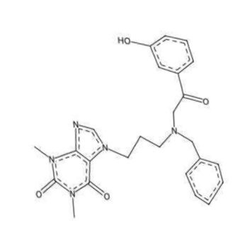 Cn1c(=O)c2c(ncn2CCCN(CC(=O)c2cccc(O)c2)Cc2ccccc2)n(C)c1=O